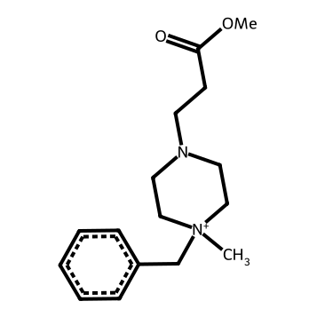 COC(=O)CCN1CC[N+](C)(Cc2ccccc2)CC1